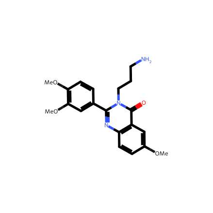 COc1ccc2nc(-c3ccc(OC)c(OC)c3)n(CCCN)c(=O)c2c1